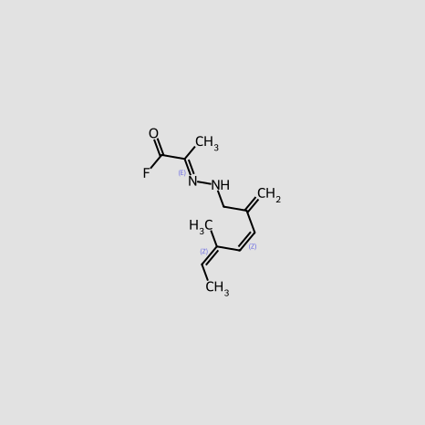 C=C(/C=C\C(C)=C/C)CN/N=C(\C)C(=O)F